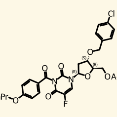 CCCOc1ccc(C(=O)n2c(=O)c(F)cn([C@H]3C[C@H](OCc4ccc(Cl)cc4)[C@@H](COC(C)=O)O3)c2=O)cc1